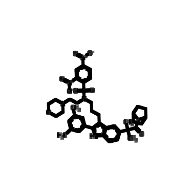 Cc1cc(C)cc(-c2[nH]c3ccc(C(C)(C)C(=O)N4C5CCC4CC5)cc3c2CCCN(CCN2CCOCC2)S(=O)(=O)c2ccc([N+](=O)[O-])cc2[N+](=O)[O-])c1